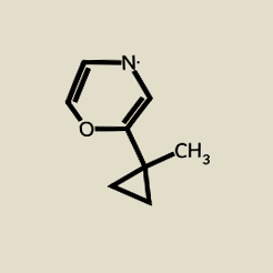 CC1(C2=C[N]C=CO2)CC1